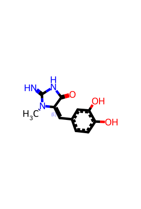 CN1C(=N)NC(=O)/C1=C\c1ccc(O)c(O)c1